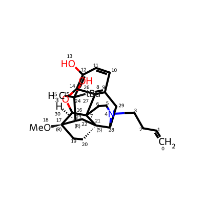 C=CCCN1CCC23c4c5ccc(O)c4OC2[C@@]2(OC)CC[C@@]3(C[C@@H]2C(C)(O)C(C)(C)C)C1C5